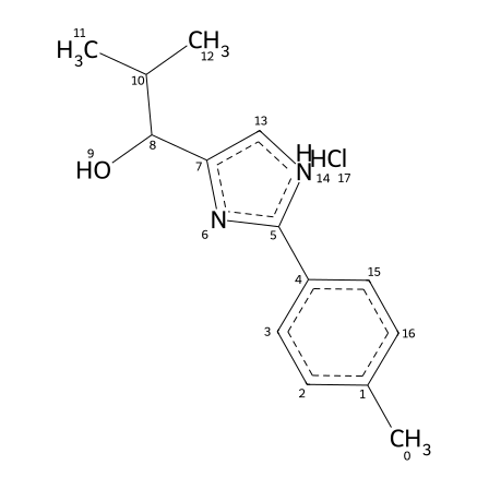 Cc1ccc(-c2nc(C(O)C(C)C)c[nH]2)cc1.Cl